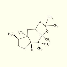 C[C@@H]1CC[C@H]2C(C)(C)C3(C)OC(C)(C)OC3C[C@]12C